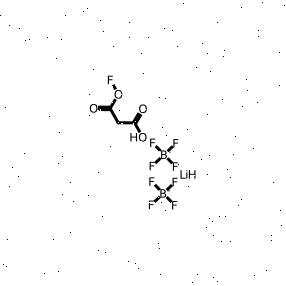 F[B-](F)(F)F.F[B-](F)(F)F.O=C(O)CC(=O)OF.[LiH]